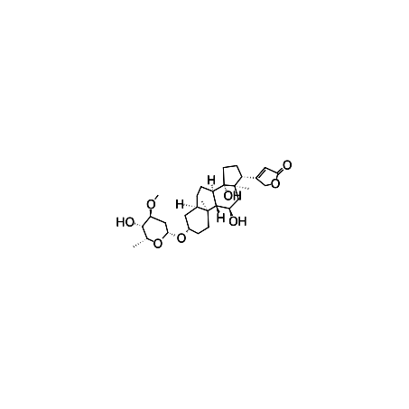 CO[C@H]1C[C@H](O[C@H]2CC[C@@]3(C)[C@H](CC[C@@H]4[C@@H]3[C@H](O)C[C@]3(C)[C@@H](C5=CC(=O)OC5)CC[C@]43O)C2)O[C@H](C)[C@@H]1O